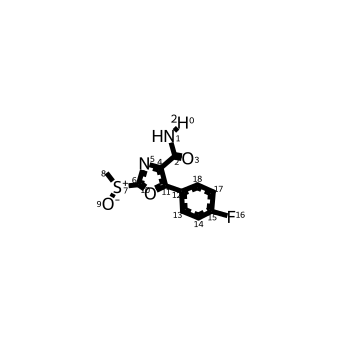 [2H]NC(=O)c1nc([S+](C)[O-])oc1-c1ccc(F)cc1